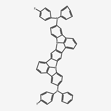 Fc1ccc(N(c2ccccc2)c2ccc3c(c2)c2cccc4c5cc6c(cc5n3c24)c2cccc3c4cc(N(c5ccccc5)c5ccc(F)cc5)ccc4n6c32)cc1